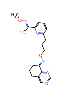 CO/N=C(\C)c1cccc(CCCO/N=C2\CCCc3cncnc32)n1